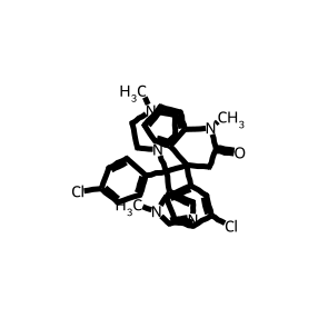 CN1CCN(C(c2ccc(Cl)cc2)(c2cncn2C)C2(c3cccc(Cl)c3)CC(=O)N(C)c3ccccc32)CC1